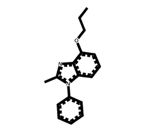 CCCOc1cccc2c1nc(C)n2-c1ccccc1